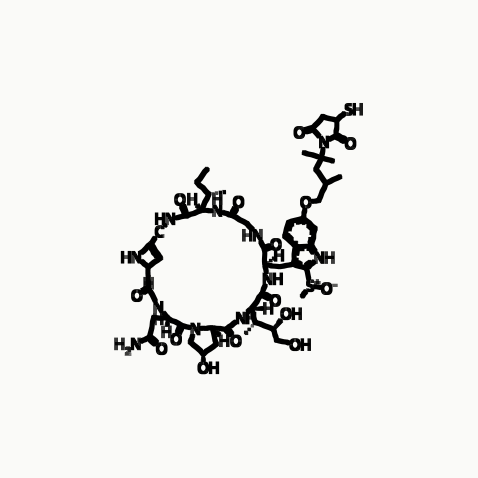 CC[C@H](C)[C@@H]1NC(=O)CNC(=O)[C@@H](Cc2c([S+](C)[O-])[nH]c3cc(OCC(C)CC(C)(C)N4C(=O)CC(S)C4=O)ccc23)NC(=O)[C@H]([C@@H](C)[C@@H](O)CO)NC(=O)[C@@H]2C[C@@H](O)CN2C(=O)[C@H](CC(N)=O)NC(=O)[C@@H]2C=C(CNC1=O)N2